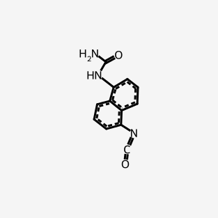 NC(=O)Nc1cccc2c(N=C=O)cccc12